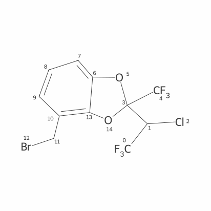 FC(F)(F)C(Cl)C1(C(F)(F)F)Oc2cccc(CBr)c2O1